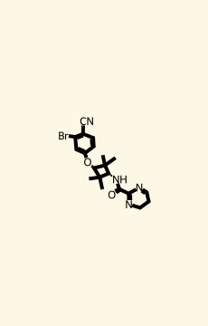 CC1(C)[C@H](NC(=O)C2=NCCC=N2)C(C)(C)[C@H]1Oc1ccc(C#N)c(Br)c1